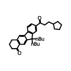 CCCCC1(CCCC)c2cc(C(=O)CCC3CCCC3)ccc2-c2cc3c(cc21)C(=O)CCC3